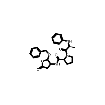 C[C@H](Nc1ccccc1)C(=O)N1CCC[C@H]1C(=O)NC1CC(=O)OC1OCc1ccccc1